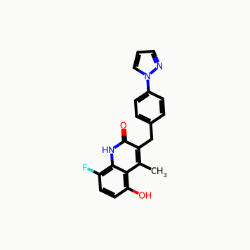 Cc1c(Cc2ccc(-n3cccn3)cc2)c(=O)[nH]c2c(F)ccc(O)c12